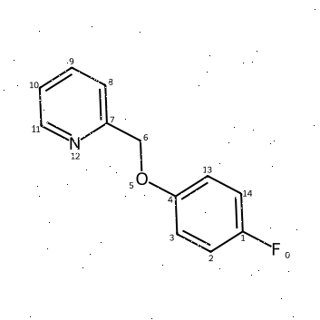 Fc1ccc(OCc2ccccn2)cc1